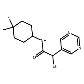 CCC(C(=O)NC1CCC(C)(F)CC1)c1cncnc1